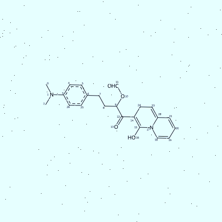 CN(C)c1ccc(CCC(OC=O)C(=O)C2=C(O)N3C=CC=CC3=CC2)cc1